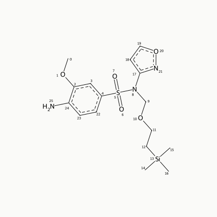 COc1cc(S(=O)(=O)N(COCC[Si](C)(C)C)c2ccon2)ccc1N